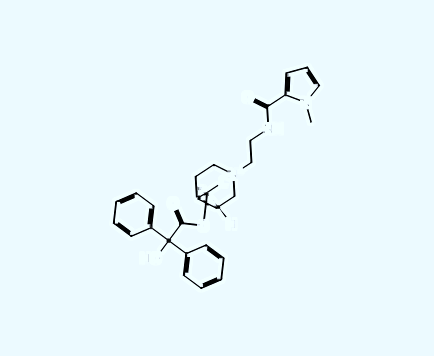 Cn1cccc1C(=O)NCC[N+]12CCC(CC1)[C@@H](OC(=O)C(O)(c1ccccc1)c1ccccc1)C2